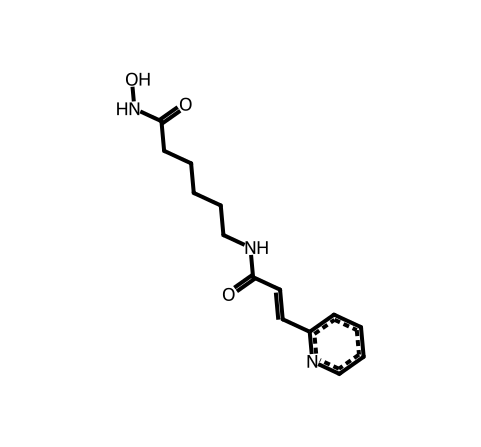 O=C(/C=C/c1ccccn1)NCCCCCC(=O)NO